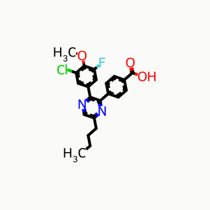 CCCCc1cnc(-c2cc(F)c(OC)c(Cl)c2)c(-c2ccc(C(=O)O)cc2)n1